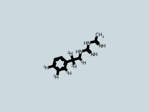 [2H]c1ccc(C([2H])([2H])C([2H])NC(=N)NC(C)=N)c([2H])c1[2H]